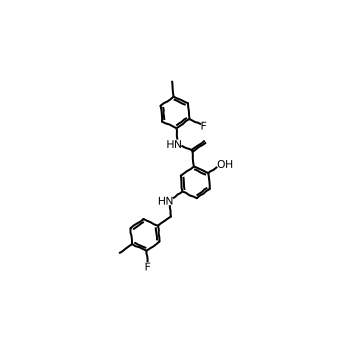 C=C(Nc1ccc(C)cc1F)c1cc(NCc2ccc(C)c(F)c2)ccc1O